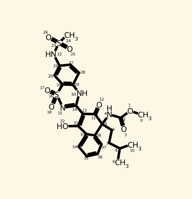 COC(=O)NC1(CCC(C)C)C(=O)C(C2=NS(=O)(=O)c3cc(NS(C)(=O)=O)ccc3N2)=C(O)c2ccccc21